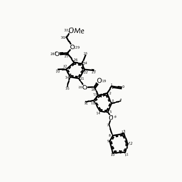 C=Cc1c(C)c(OCc2ccccc2)cc(C)c1C(=O)Oc1c(C)c(C)c(C(=O)OCOC)c(C)c1C